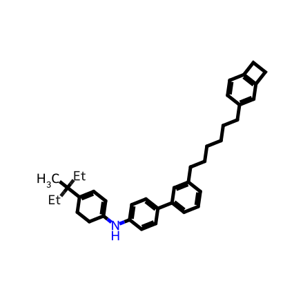 CCC(C)(CC)C1=CC=C(Nc2ccc(-c3cccc(CCCCCCc4ccc5c(c4)CC5)c3)cc2)CC1